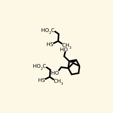 CC(S)CC(=O)O.CC(S)CC(=O)O.OCC1=CC2CCC1(CO)C2